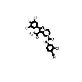 N#Cc1ccc(NC(=O)N2CCn3nc(-c4cc(Cl)c(F)c(Cl)c4)c(C(N)=O)c3C2)cc1Cl